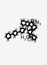 CC1(C)c2ccccc2-c2ccc(N(c3ccc(-c4ccc(-c5ccccc5)cc4)cc3)c3c4c(cc5ccccc35)C(C)(C)c3ccccc3-4)cc21